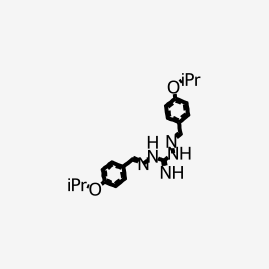 CC(C)Oc1ccc(C=NNC(=N)NN=Cc2ccc(OC(C)C)cc2)cc1